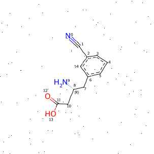 N#Cc1cccc(C[C@@H](N)CC(=O)O)c1